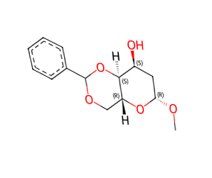 CO[C@H]1C[C@H](O)[C@@H]2OC(c3ccccc3)OC[C@H]2O1